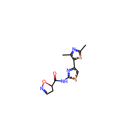 Cc1nc(C)c(-c2csc(NC(=O)C3CC=NO3)n2)s1